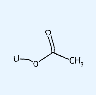 CC(=O)[O][U]